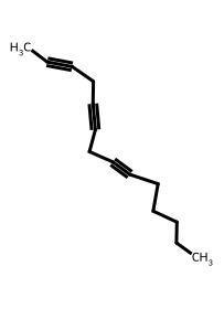 CC#CCC#CCC#CCCCCC